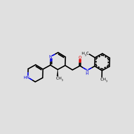 Cc1cccc(C)c1NC(=O)CC1C=CN=C(C2=CCNCC2)[C@@H]1C